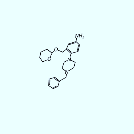 Nc1ccc(N2CCN(Cc3ccccc3)CC2)c(COC2CCCCO2)c1